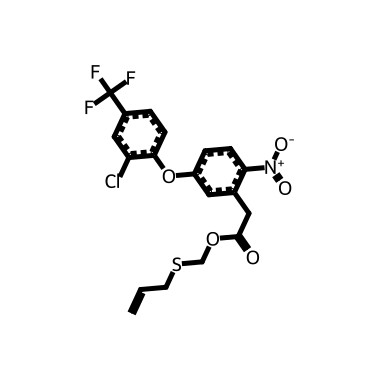 C=CCSCOC(=O)Cc1cc(Oc2ccc(C(F)(F)F)cc2Cl)ccc1[N+](=O)[O-]